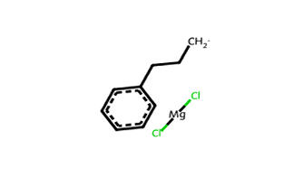 [CH2]CCc1ccccc1.[Cl][Mg][Cl]